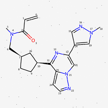 C=CC(=O)N(C)C[C@@H]1CC[C@H](c2nc(-c3cnn(C)c3)cn3nccc23)C1